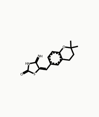 CC1(C)CCc2cc(C=C3SC(=O)NC3=N)ccc2O1